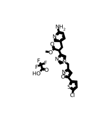 COC(=O)C(Cc1ccc(N)nc1)c1cn(Cc2cc(-c3ccc(Cl)s3)on2)cn1.O=C(O)C(F)(F)F